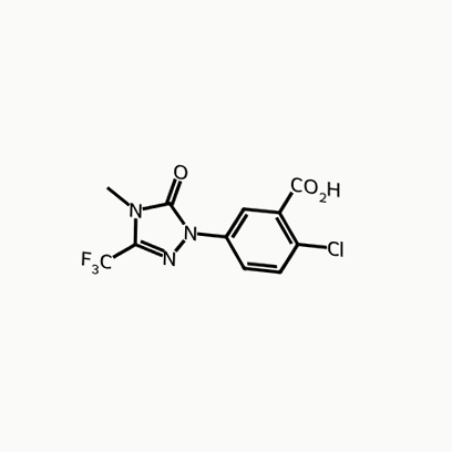 Cn1c(C(F)(F)F)nn(-c2ccc(Cl)c(C(=O)O)c2)c1=O